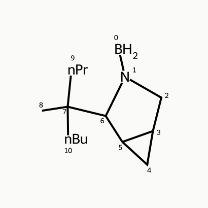 BN1CC2CC2C1C(C)(CCC)CCCC